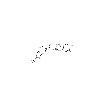 N[C@@H](CC(=O)N1CCn2nc(C(F)(F)F)nc2C1)Cc1cc(F)c(F)cc1F